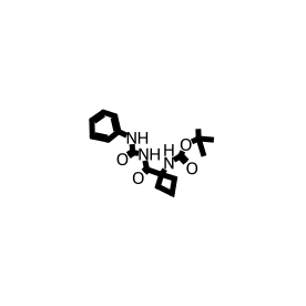 CC(C)(C)OC(=O)NC1(C(=O)NC(=O)Nc2ccccc2)CCC1